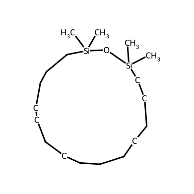 C[Si]1(C)CCCCCCCCCCCCCC[Si](C)(C)O1